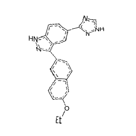 CCOc1ccc2cc(-c3n[nH]c4ccc(-c5nc[nH]n5)cc34)ccc2c1